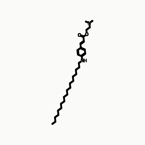 CCCCCCCCCCCCCCCCCCCNc1ccc(C=CC(=O)OCCN(C)C)cc1